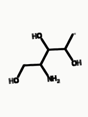 [CH2]C(O)C(O)C(N)CO